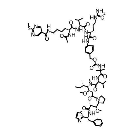 CC[C@H](C)[C@@H]([C@@H](CC(=O)N1CCC[C@H]1[C@H](OC)[C@@H](C)C(=O)N[C@@H](Cc1ccccc1)c1nccs1)OC)N(C)C(=O)[C@@H](NC(=O)C(C)(C)NC(=O)OCc1ccc(NC(=O)[C@H](CCCNC(N)=O)NC(=O)[C@@H](NC(=O)[C@H](CCCCNC(=O)c2cnc(SC)nc2)NC(C)=O)C(C)C)cc1)C(C)C